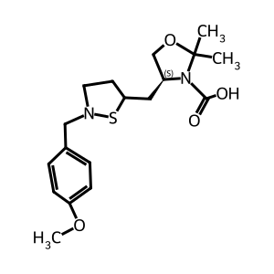 COc1ccc(CN2CCC(C[C@H]3COC(C)(C)N3C(=O)O)S2)cc1